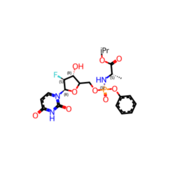 CC(C)OC(=O)[C@H](C)N[P@](=O)(OCC1O[C@@H](n2ccc(=O)[nH]c2=O)[C@@H](F)[C@@H]1O)Oc1ccccc1